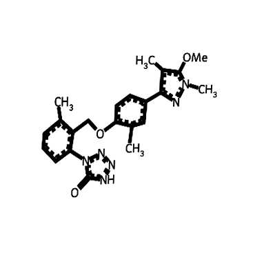 COc1c(C)c(-c2ccc(OCc3c(C)cccc3-n3nn[nH]c3=O)c(C)c2)nn1C